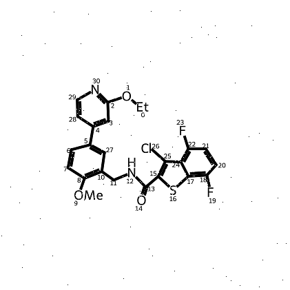 CCOc1cc(-c2ccc(OC)c(CNC(=O)c3sc4c(F)ccc(F)c4c3Cl)c2)ccn1